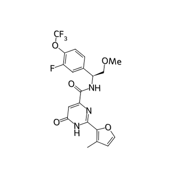 COC[C@@H](NC(=O)c1cc(=O)[nH]c(-c2occc2C)n1)c1ccc(OC(F)(F)F)c(F)c1